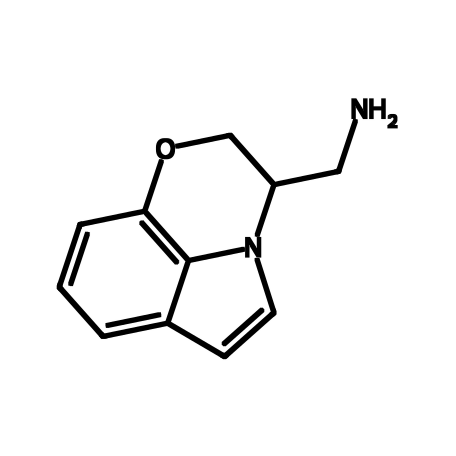 NCC1COc2cccc3ccn1c23